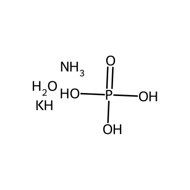 N.O.O=P(O)(O)O.[KH]